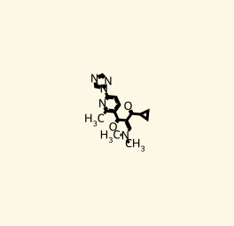 Cc1nc(-n2cncn2)ccc1C(=O)/C(=C\N(C)C)C(=O)C1CC1